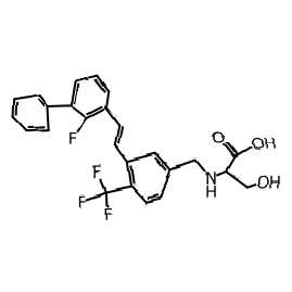 O=C(O)C(CO)NCc1ccc(C(F)(F)F)c(/C=C/c2cccc(-c3ccccc3)c2F)c1